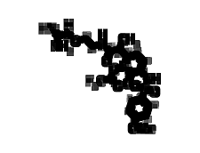 COc1ccc(S(=O)(=O)Nc2ccc(C(C)C(=O)NCCONC(=N)N)n(OC(=O)C(F)(F)F)c2=O)cc1